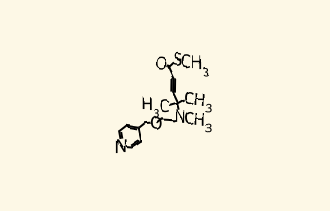 CSC(=O)C#CC(C)(C)N(C)CCOCc1ccncc1